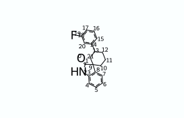 O=C1Nc2ccccc2C12CCCC(c1cccc(F)c1)C2